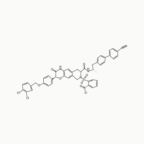 C[C@@H](Cc1ccc(-c2ccc(C#N)cc2)cc1)NC(=O)C1Cc2cc3c(cc2CN1S(=O)(=O)c1ccccc1[N+](=O)[O-])O[C@@H](c1ccc(OCc2ccc(Cl)c(Cl)c2)cc1)C(=O)N3